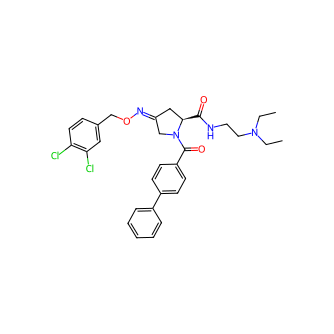 CCN(CC)CCNC(=O)[C@@H]1CC(=NOCc2ccc(Cl)c(Cl)c2)CN1C(=O)c1ccc(-c2ccccc2)cc1